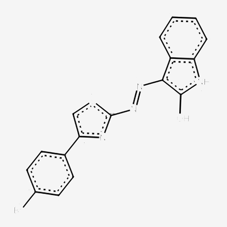 Oc1[nH]c2ccccc2c1N=Nc1nc(-c2ccc(Br)cc2)cs1